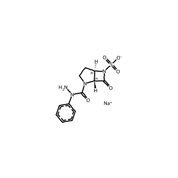 NN(C(=O)N1CC[C@@H]2[C@@H]1C(=O)N2S(=O)(=O)[O-])c1ccccc1.[Na+]